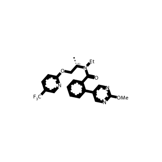 CCN(C(=O)c1ccccc1-c1cnc(OC)nc1)[C@@H](C)COc1ccc(C(F)(F)F)cn1